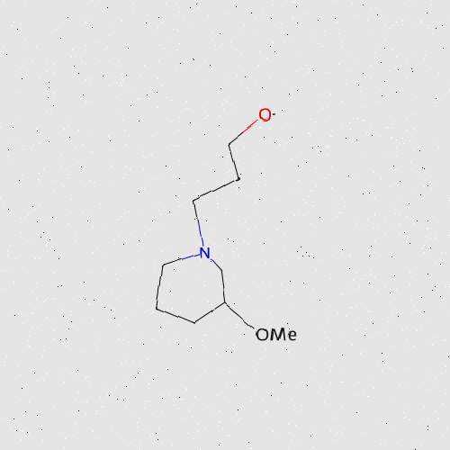 COC1CCCN(CCC[O])C1